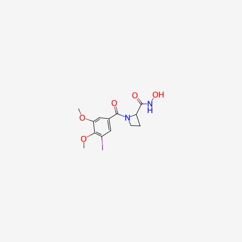 COc1cc(C(=O)N2CCC2C(=O)NO)cc(I)c1OC